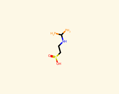 O=S(O)CCNC(P)P